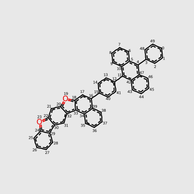 c1ccc(-c2c3ccccc3c(-c3ccc(-c4cc5oc6cc7oc8ccccc8c7cc6c5c5ccccc45)cc3)c3ccccc23)cc1